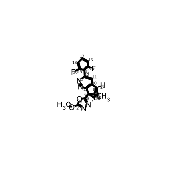 COc1nnc(C23CC[C@@H](c4cc(-c5c(F)cccc5F)nnc42)[C@H]3C)o1